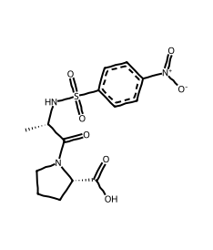 C[C@H](NS(=O)(=O)c1ccc([N+](=O)[O-])cc1)C(=O)N1CCC[C@H]1C(=O)O